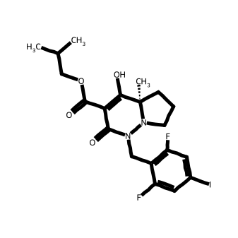 CC(C)COC(=O)C1=C(O)[C@@]2(C)CCCN2N(Cc2c(F)cc(I)cc2F)C1=O